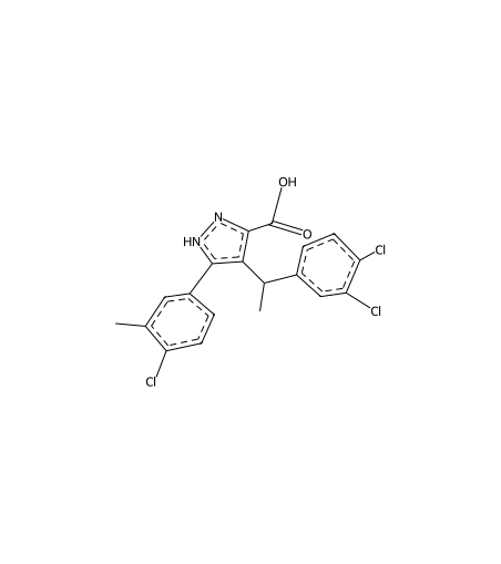 Cc1cc(-c2[nH]nc(C(=O)O)c2C(C)c2ccc(Cl)c(Cl)c2)ccc1Cl